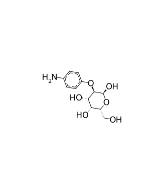 Nc1ccc(O[C@@H]2[C@@H](O)[C@@H](O)[C@@H](CO)O[C@@H]2O)cc1